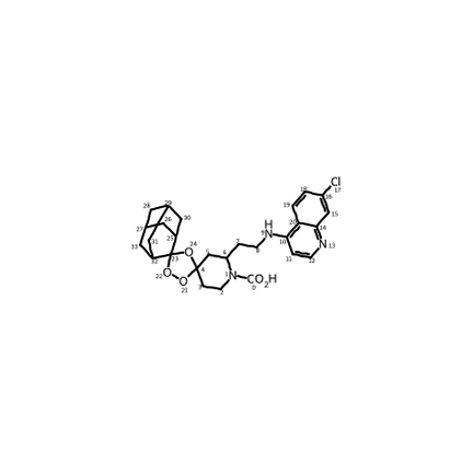 O=C(O)N1CCC2(CC1CCNc1ccnc3cc(Cl)ccc13)OOC1(O2)C2CC3CC(C2)CC1C3